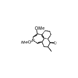 COC1=CN(OC)C=C2CC(C)C(=O)C3CCCC1=C23